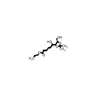 C=CCOC(=O)C=CC=C[C@@H](O)[C@@H]1OC(C)(C)O[C@@H]1CO